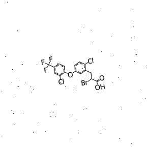 O=C(O)C(Br)Cc1cc(Oc2ccc(C(F)(F)F)cc2Cl)ccc1Cl